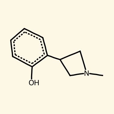 CN1CC(c2ccccc2O)C1